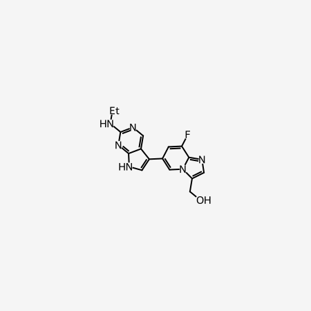 CCNc1ncc2c(-c3cc(F)c4ncc(CO)n4c3)c[nH]c2n1